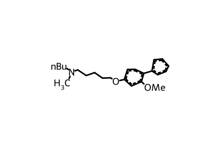 CCCCN(C)CCCCCOc1ccc(-c2ccccc2)c(OC)c1